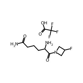 NC(=O)CCCC(N)C(=O)N1CC(F)C1.O=C(O)C(F)(F)F